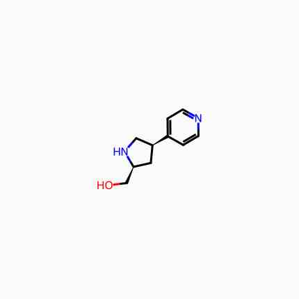 OC[C@@H]1C[C@H](c2ccncc2)CN1